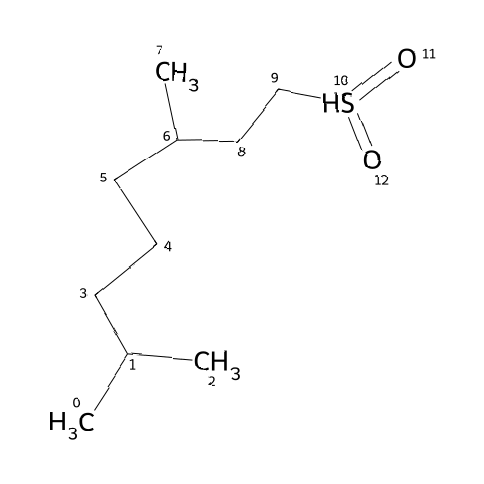 CC(C)CCCC(C)CC[SH](=O)=O